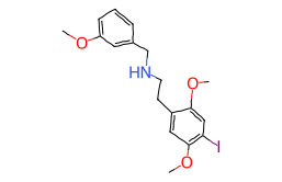 COc1cccc(CNCCc2cc(OC)c(I)cc2OC)c1